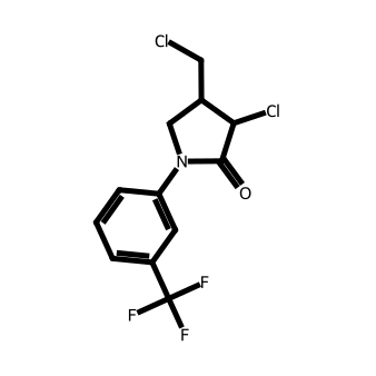 O=C1C(Cl)C(CCl)CN1c1cccc(C(F)(F)F)c1